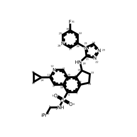 CC(C)CNS(=O)(=O)c1cc2c(c3cnc(C4CC4)cc13)C(Nc1nncn1-c1cncc(F)c1)CC2